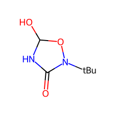 CC(C)(C)N1OC(O)NC1=O